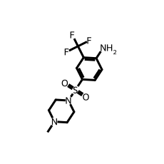 CN1CCN(S(=O)(=O)c2ccc(N)c(C(F)(F)F)c2)CC1